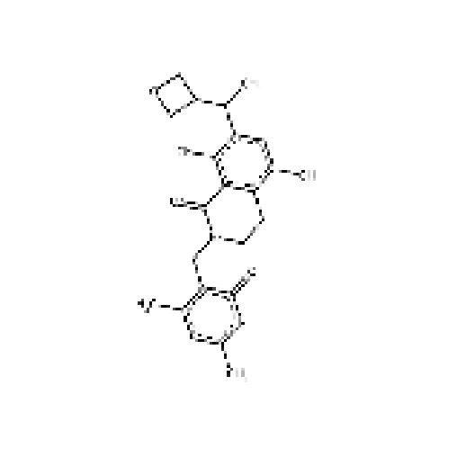 Cc1cc(C)c(CN2CCc3c(C)cc(C(C)C4COC4)c(Cl)c3C2=O)c(=O)[nH]1